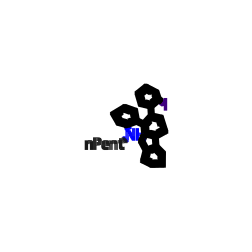 CCCCCNc1ccccc1-c1c(-c2ccccc2I)ccc2c1Cc1ccccc1-2